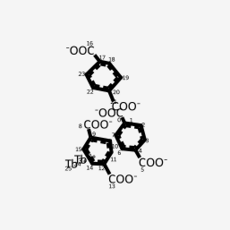 O=C([O-])c1ccc(C(=O)[O-])cc1.O=C([O-])c1ccc(C(=O)[O-])cc1.O=C([O-])c1ccc(C(=O)[O-])cc1.[Tb+3].[Tb+3]